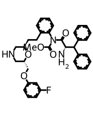 COC(=O)N(C(=O)[C@@H](N)C(c1ccccc1)c1ccccc1)c1ccccc1CC[C@@H]1CNC[C@@H](COc2cccc(F)c2)O1